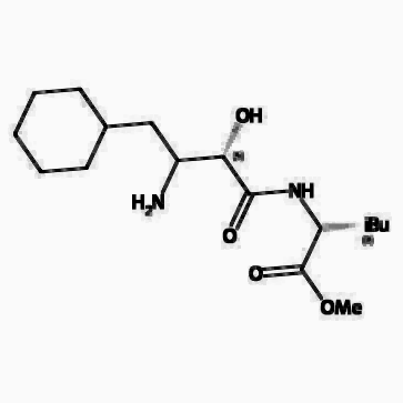 CC[C@@H](C)C(NC(=O)[C@@H](O)C(N)CC1CCCCC1)C(=O)OC